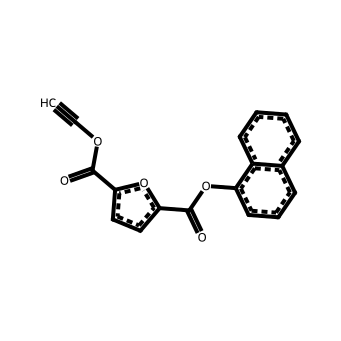 C#COC(=O)c1ccc(C(=O)Oc2cccc3ccccc23)o1